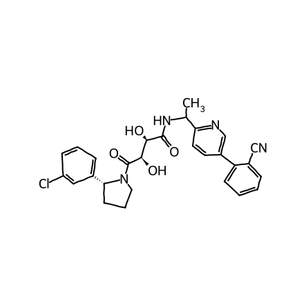 CC(NC(=O)[C@H](O)[C@@H](O)C(=O)N1CCC[C@@H]1c1cccc(Cl)c1)c1ccc(-c2ccccc2C#N)cn1